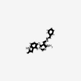 Cc1cc2c(F)c(Oc3ncnc(N)c3C=NOCc3ccccc3)ccc2[nH]1